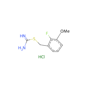 COc1cccc(CSC(=N)N)c1F.Cl